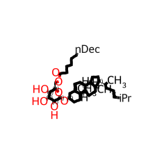 CCCCCCCCCCCCCCCC(=O)OC[C@H]1O[C@@H](O[C@H]2CC[C@@]3(C)C(=CC[C@H]4[C@@H]5CC[C@H](C(C)CCCC(C)C)[C@@]5(C)CC[C@@H]43)C2)[C@H](O)[C@@H](O)[C@@H]1O